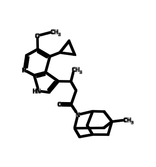 COc1cnc2[nH]cc(C(C)CC(=O)N3C4CC5CC3CC(C)(C5)C4)c2c1C1CC1